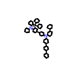 c1ccc(-c2ccc(-c3ccc(N(c4ccc(-c5ccc6c(c5)[Si](c5ccccc5)(c5ccccc5)c5ccccc5N6c5ccccc5)cc4)c4cccc(-c5ccccc5)c4)cc3)cc2)cc1